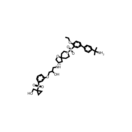 CCOc1ccc(-c2ccc(C(C)(C)N)cc2)cc1S(=O)(=O)N1CCC2(CC1)C[C@H](NCC(O)COc1cccc(S(=O)(=O)C3(CO)CC3)c1)CO2